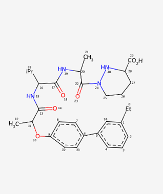 CCc1cccc(-c2ccc(OC(C)C(=O)NC(C(=O)NC(C)C(=O)N3CCCC(C(=O)O)N3)C(C)C)cc2)c1